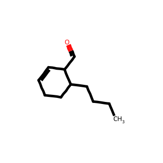 CCCCC1CCC=CC1C=O